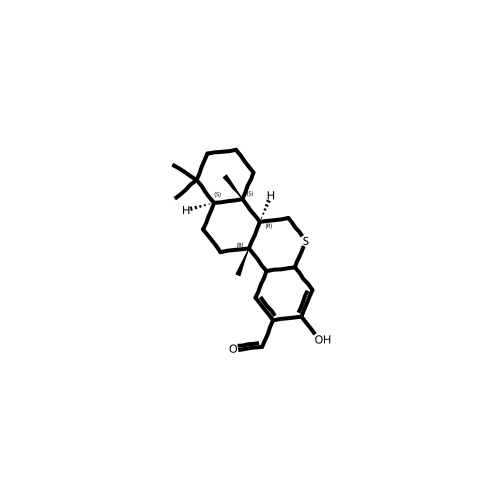 CC1(C)CCC[C@]2(C)[C@H]3CSC4C=C(O)C(C=O)=CC4[C@]3(C)CC[C@@H]12